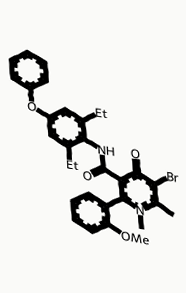 CCc1cc(Oc2ccccc2)cc(CC)c1NC(=O)c1c(-c2ccccc2OC)n(C)c(C)c(Br)c1=O